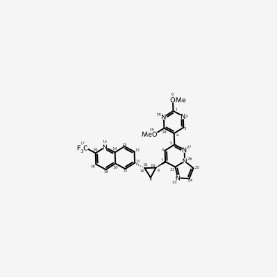 COc1ncc(-c2cc([C@H]3C[C@@H]3c3ccc4nc(C(F)(F)F)ccc4c3)c3nccn3n2)c(OC)n1